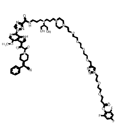 COc1cnc(-n2cnc(C(=O)NCCCN(CCCN3CCN(CCOCCOCCOCCOCc4cn(CCOCCOCCC(=O)Oc5c(F)cc(F)cc5F)nn4)CC3)C(CO)CO)n2)c2[nH]cc(C(=O)C(=O)N3CCC(=C(C#N)c4ccccc4)CC3)c12